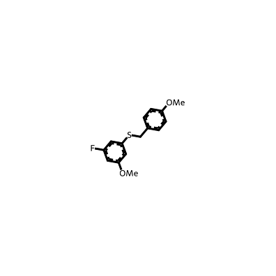 COc1ccc(CSc2cc(F)cc(OC)c2)cc1